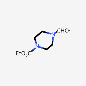 CCOC(=O)N1CCN([C]=O)CC1